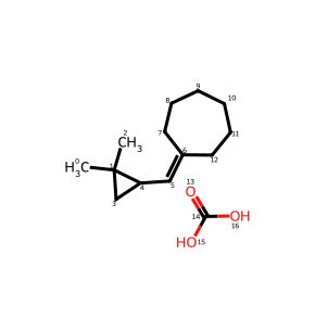 CC1(C)CC1C=C1CCCCCC1.O=C(O)O